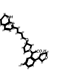 O=C(O)C(c1cc(F)ccc1C1CCOC1)N1CCC(OCCCCc2ccc3c(n2)NCCC3)C1